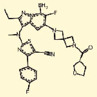 Bc1c(F)c(N2CC3(CN(C(=O)[C@H]4CCOC4)C3)C2)cc2c(N(C)c3nc(-c4ccc(F)cc4)c(C#N)s3)c(CC)nn12